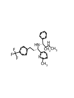 C=C(NC)[C@H](N[C@@H](CCc1ccc(C(F)(F)F)cc1)c1cccc(C)n1)c1ccccc1